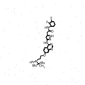 [CH2]C(N(CCC)CCCOc1ccc2c(Nc3cc(CC(=O)Nc4cccc(F)c4F)[nH]n3)ncnc2c1)(C(C)(C)C)C(C)(C)C